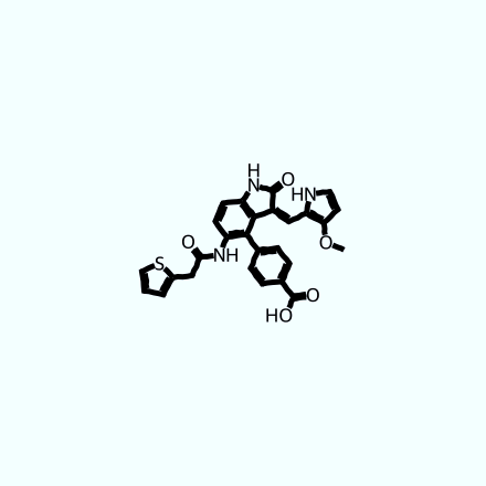 COc1cc[nH]c1/C=C1\C(=O)Nc2ccc(NC(=O)Cc3cccs3)c(-c3ccc(C(=O)O)cc3)c21